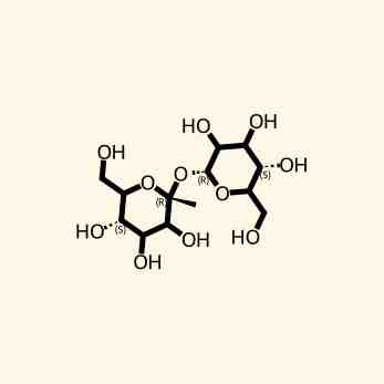 C[C@]1(O[C@H]2OC(CO)[C@@H](O)C(O)C2O)OC(CO)[C@@H](O)C(O)C1O